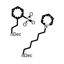 CCCCCCCCCCCCCCCC[n+]1ccccc1.CCCCCCCCCCCCc1ccccc1S(=O)(=O)[O-]